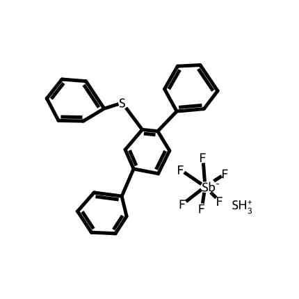 [F][Sb-]([F])([F])([F])([F])[F].[SH3+].c1ccc(Sc2cc(-c3ccccc3)ccc2-c2ccccc2)cc1